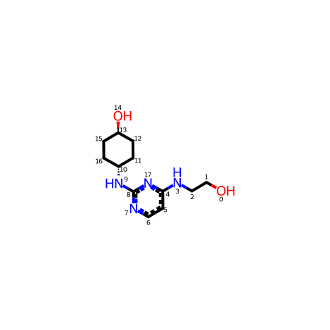 OCCNc1ccnc(N[C@H]2CC[C@H](O)CC2)n1